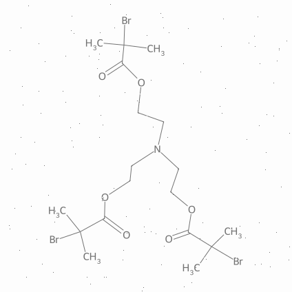 CC(C)(Br)C(=O)OCCN(CCOC(=O)C(C)(C)Br)CCOC(=O)C(C)(C)Br